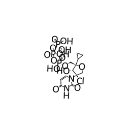 O=c1ccn([C@@]2(Cl)CO[C@@](COP(=O)(O)OP(=O)(O)OP(=O)(O)O)(C3CC3)[C@H]2O)c(=O)[nH]1